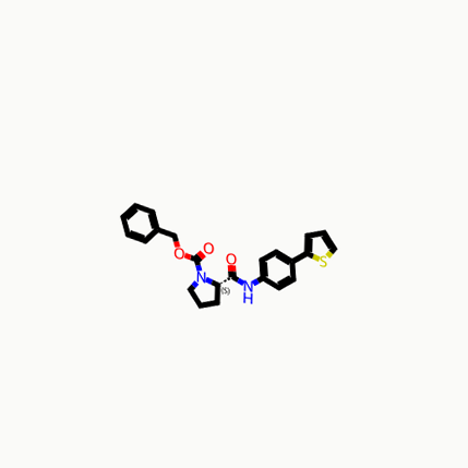 O=C(Nc1ccc(-c2cccs2)cc1)[C@@H]1CCCN1C(=O)OCc1ccccc1